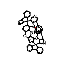 c1ccc2c(c1)-c1ccccc1C21c2cncc3c2B2c4c1ccc1c4[N+]4(c5c(ccc6c5B5c7c(cncc7C67c6ccccc6-c6ccccc67)-c6ccc[n+]4c65)O1)[n+]1cccc-3c12